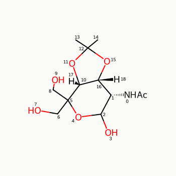 CC(=O)N[C@@H]1C(O)OC(CO)(CO)[C@@H]2OC(C)(C)O[C@H]12